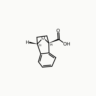 O=C(O)[C@]12CC[C@H](O1)c1ccccc12